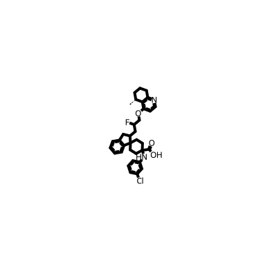 C[C@@H]1CCCc2nccc(OCC(F)CC3Cc4ccccc4C34CCC(Nc3cccc(Cl)c3)(C(=O)O)CC4)c21